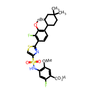 CCCCOc1c(C2CCC(C)(C)CC2)ccc(-c2nc(S(=O)(=O)Nc3cc(F)c(C(=O)O)cc3OC)cs2)c1F